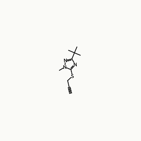 C#CCSc1nc(C(C)(C)C)nn1C